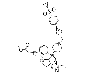 CCc1nccn1C[C@@](c1cccc(F)c1)(C1CCN(CC2CN(c3ccc(S(=O)(=O)C4CC4)cc3)C2)CC1)C1CCC[C@@H]1CCCCC(=O)OC